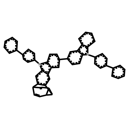 C1=CC2C3C=CC1c1cc4c(cc1C23)c1cc(-c2ccc3c(c2)c2ccccc2n3-c2ccc(-c3ccccc3)cc2)ccc1n4-c1ccc(-c2ccccc2)cc1